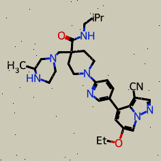 CCOc1cc(-c2ccc(N3CCC(CN4CCNC(C)C4)(C(=O)NCC(C)C)CC3)nc2)c2c(C#N)cnn2c1